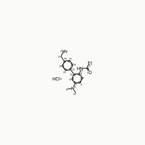 CCC(=O)Nc1ccc(N(C)C)cc1-c1ccc(CC(C)C)cc1.Cl